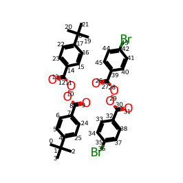 CC(C)(C)c1ccc(C(=O)OOC(=O)c2ccc(C(C)(C)C)cc2)cc1.O=C(OOC(=O)c1ccc(Br)cc1)c1ccc(Br)cc1